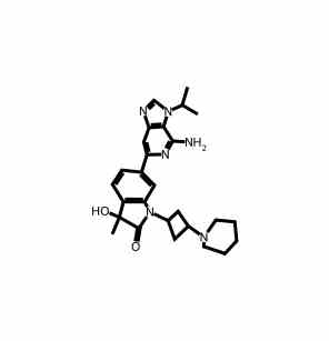 CC(C)n1cnc2cc(-c3ccc4c(c3)N(C3CC(N5CCCCC5)C3)C(=O)C4(C)O)nc(N)c21